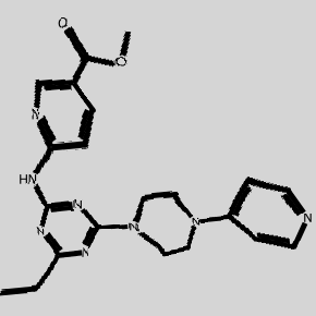 CCc1nc(Nc2ccc(C(=O)OC)cn2)nc(N2CCN(c3ccncc3)CC2)n1